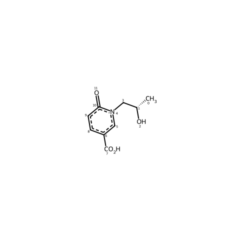 C[C@H](O)Cn1cc(C(=O)O)ccc1=O